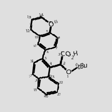 CC(C)(C)OC(C(=O)O)c1c(-c2ccc3c(c2)CCCO3)ccc2ccccc12